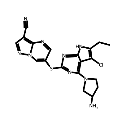 CCc1[nH]c2nc(Sc3cnc4c(C#N)cnn4c3)nc(N3CCC(N)C3)c2c1Cl